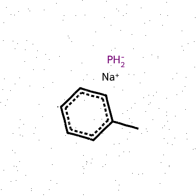 Cc1cc[c]cc1.[Na+].[PH2-]